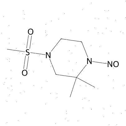 CC1(C)CN(S(C)(=O)=O)CCN1N=O